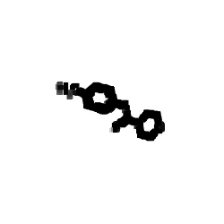 Cc1ccc(SC(=S)N2CCOCC2)cc1